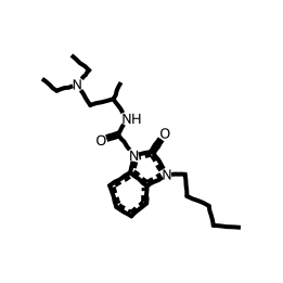 CCCCCn1c(=O)n(C(=O)NC(C)CN(CC)CC)c2ccccc21